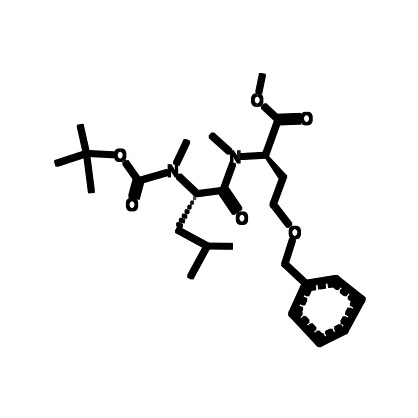 COC(=O)[C@@H](CCOCc1ccccc1)N(C)C(=O)[C@H](CC(C)C)N(C)C(=O)OC(C)(C)C